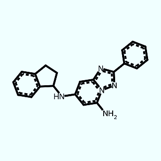 Nc1cc(NC2CCc3ccccc32)cc2nc(-c3ccccc3)nn12